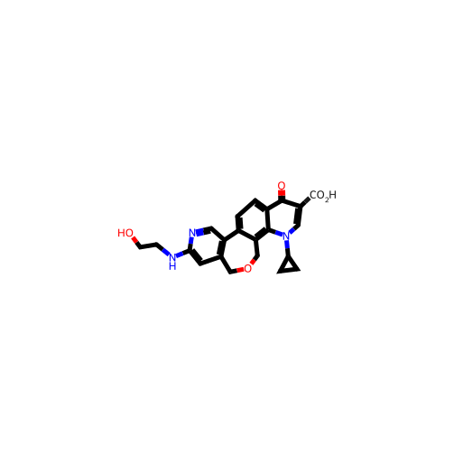 O=C(O)c1cn(C2CC2)c2c3c(ccc2c1=O)-c1cnc(NCCO)cc1COC3